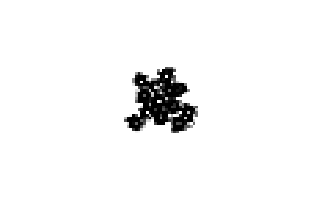 c1ccc(-c2cc(-c3ccccc3-c3cccc4ccccc34)nc(-c3ccc(-c4ccccc4-c4nc(-c5ccccc5)cc(-c5ccccc5)n4)c(-c4ccc(-c5cccc6oc7ccccc7c56)cc4)c3)n2)cc1